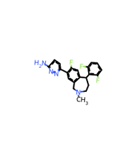 CN1CCC(c2c(F)cccc2F)c2cc(F)c(-c3ccc(N)nn3)cc2C1